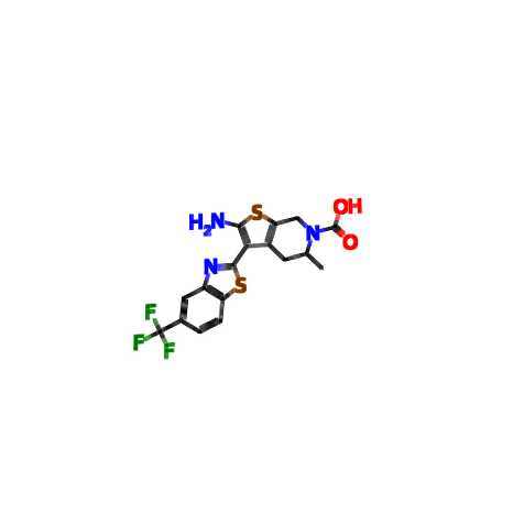 CC1Cc2c(sc(N)c2-c2nc3cc(C(F)(F)F)ccc3s2)CN1C(=O)O